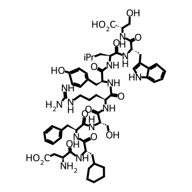 CC(C)C[C@H](NC(=O)[C@H](Cc1ccc(O)cc1)NC(=O)[C@H](CCCNC(=N)N)NC(=O)[C@H](CO)NC(=O)[C@H](Cc1ccccc1)NC(=O)[C@H](CC1CCCCC1)NC(=O)[C@@H](N)CC(=O)O)C(=O)N[C@@H](Cc1c[nH]c2ccccc12)C(=O)N[C@@H](CO)C(=O)O